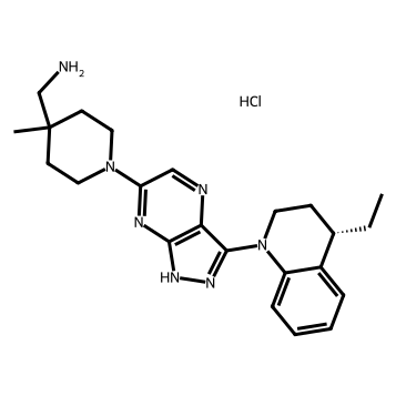 CC[C@H]1CCN(c2n[nH]c3nc(N4CCC(C)(CN)CC4)cnc23)c2ccccc21.Cl